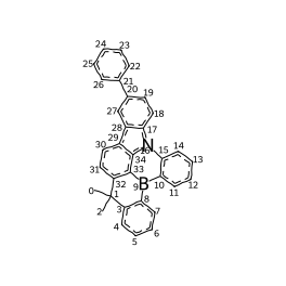 CC1(C)c2ccccc2B2c3ccccc3-n3c4ccc(-c5ccccc5)cc4c4ccc1c2c43